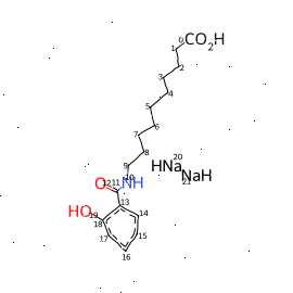 O=C(O)CCCCCCCCCNC(=O)c1ccccc1O.[NaH].[NaH]